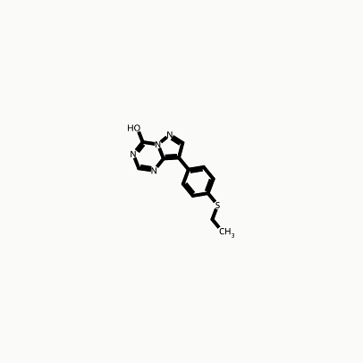 CCSc1ccc(-c2cnn3c(O)ncnc23)cc1